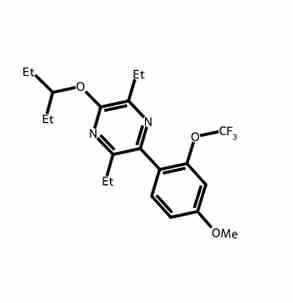 CCc1nc(-c2ccc(OC)cc2OC(F)(F)F)c(CC)nc1OC(CC)CC